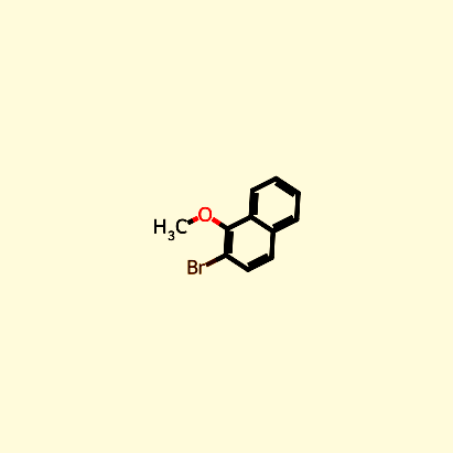 COc1c(Br)ccc2ccccc12